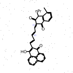 CCCC1C(=O)/C(=C/C=C/C=CC2=C(O)c3cccc4cccc(c34)C2=O)C(=O)C2=C1C(C)=C=C=C2